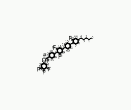 CCCCCc1ccc(-c2ccc(-c3cc(F)c(-c4ccc(C(F)(F)Oc5cc(F)c(F)c(F)c5)cc4)c(F)c3)cc2)c(F)c1